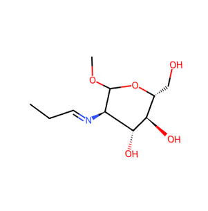 CCC=N[C@H]1C(OC)O[C@H](CO)[C@@H](O)[C@@H]1O